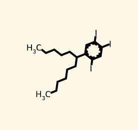 CCCCCCC(CCCCC)c1cc(I)c(I)cc1I